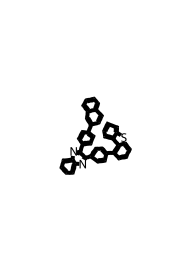 c1ccc2cc(-c3ccc(-c4nc5ccccc5nc4-c4ccc(-c5cccc6sc7ccccc7c56)cc4)cc3)ccc2c1